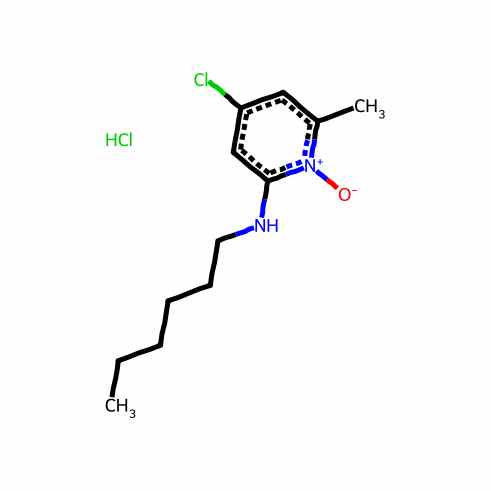 CCCCCCNc1cc(Cl)cc(C)[n+]1[O-].Cl